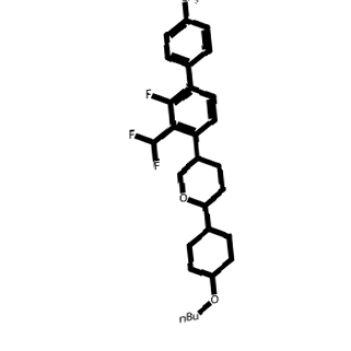 CCCCOC1CCC(C2CCC(c3ccc(-c4ccc(C)cc4)c(F)c3C(F)F)CO2)CC1